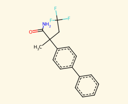 CC(CC(F)(F)F)(C(N)=O)c1ccc(-c2ccccc2)cc1